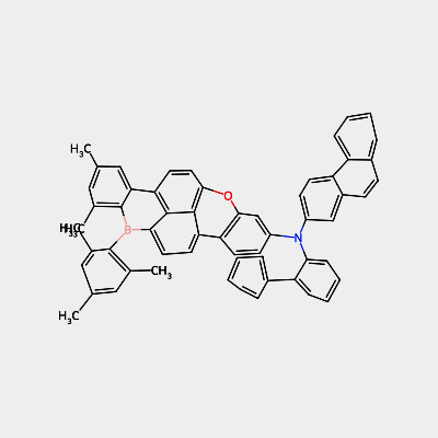 Cc1cc(C)c(B2c3c(C)cc(C)cc3-c3ccc4c5c(ccc2c35)-c2ccc(N(c3ccc5c(ccc6ccccc65)c3)c3ccccc3-c3ccccc3)cc2O4)c(C)c1